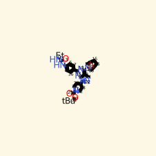 CCNC(=O)Nc1ccc(-c2nc(N3CC4CCC(C3)O4)c3cnn(C4CCN(C(=O)OC(C)(C)C)CC4)c3n2)cc1